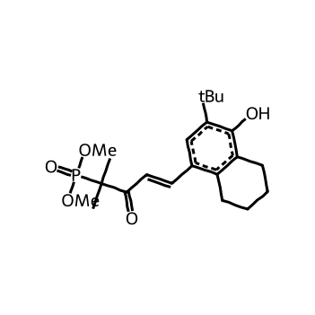 COP(=O)(OC)C(C)(C)C(=O)C=Cc1cc(C(C)(C)C)c(O)c2c1CCCC2